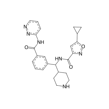 O=C(Nc1cccnn1)c1cccc(C(NC(=O)c2cc(C3CC3)on2)C2CCNCC2)c1